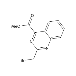 COC(=O)c1nc(CBr)nc2ccccc12